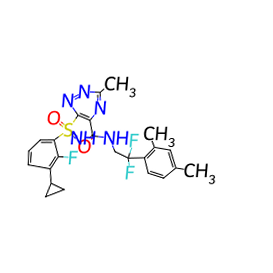 Cc1ccc(C(F)(F)CNC(=O)c2nc(C)nnc2S(=N)(=O)c2cccc(C3CC3)c2F)c(C)c1